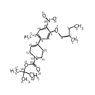 CCC(C)COc1cc(C2=CCN(C(=O)OC(C)(C)C)CC2)c(C)cc1[N+](=O)[O-]